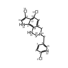 Clc1ccc(CN2Cc3cc(Cl)c4c(Cl)c[nH]c4c3NS2)cn1